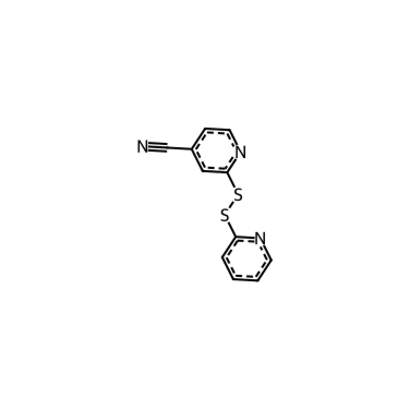 N#Cc1ccnc(SSc2ccccn2)c1